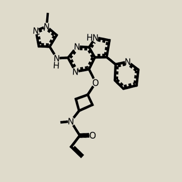 C=CC(=O)N(C)C1CC(Oc2nc(Nc3cnn(C)c3)nc3[nH]cc(-c4ccccn4)c23)C1